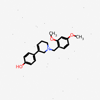 COc1ccc(CN2CCC=C(c3ccc(O)cc3)C2)c(OC)c1